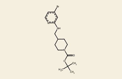 CC(C)(C)OC(=O)N1CCC(CNc2cc(Br)ccn2)CC1